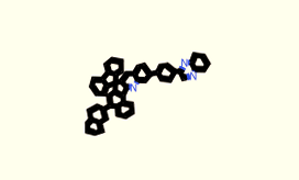 c1ccc2c(c1)-c1ccccc1C21c2cc3ccc(-c4ccc(-c5cnc6ccccc6n5)cc4)cc3nc2-c2c1cc(-c1ccc3ccccc3c1)c1ccccc21